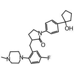 CN1CCN(c2ccc(F)cc2CC2CCN(c3ccc(C4(O)CCCC4)cc3)C2=O)CC1